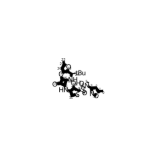 Cc1cc(N(C)S(=O)(=O)c2scc(Nc3c(N[C@@H](c4ccc(C)o4)C(C)(C)C)c(=O)c3=O)c2O)no1